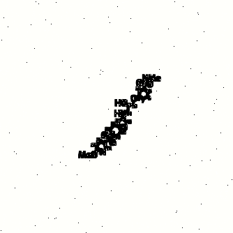 CNS(=O)(=O)c1cccc(OC[C@@H](O)CNC2COC3(CCN(S(=O)(=O)c4ccc(OC)nc4)CC3)C2)c1